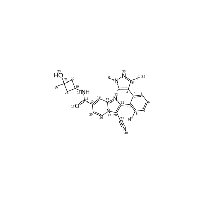 Cn1cc(-c2cccc(F)c2-c2nc3cc(C(=O)NC4CC(C)(O)C4)ccn3c2C#N)c(F)n1